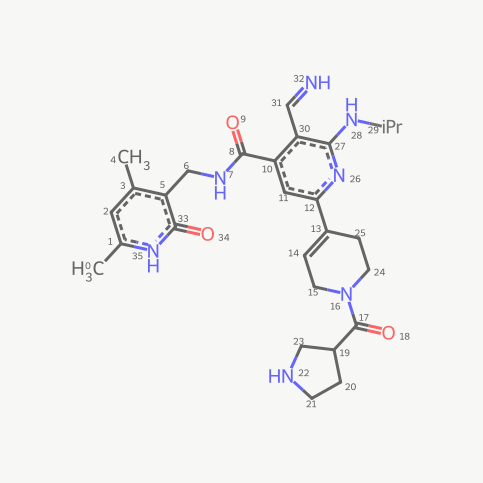 Cc1cc(C)c(CNC(=O)c2cc(C3=CCN(C(=O)C4CCNC4)CC3)nc(NC(C)C)c2C=N)c(=O)[nH]1